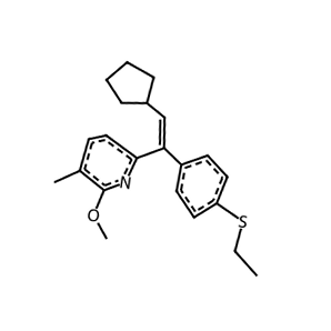 CCSc1ccc(C(=CC2CCCC2)c2ccc(C)c(OC)n2)cc1